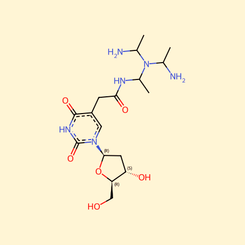 CC(N)N(C(C)N)C(C)NC(=O)Cc1cn([C@H]2C[C@H](O)[C@@H](CO)O2)c(=O)[nH]c1=O